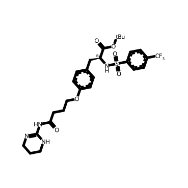 CC(C)(C)OC(=O)[C@H](Cc1ccc(OCCCC(=O)NC2=NCCCN2)cc1)NS(=O)(=O)c1ccc(C(F)(F)F)cc1